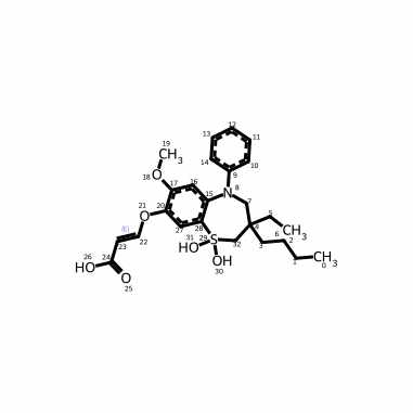 CCCCC1(CC)CN(c2ccccc2)c2cc(OC)c(O/C=C/C(=O)O)cc2S(O)(O)C1